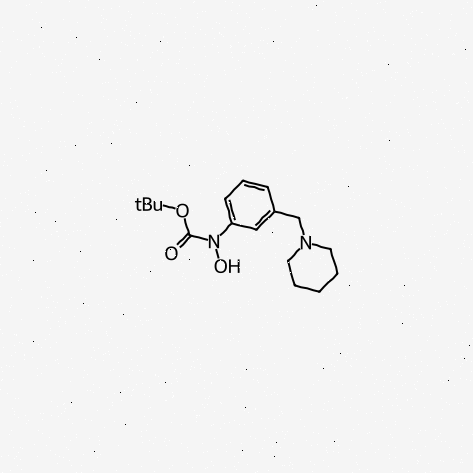 CC(C)(C)OC(=O)N(O)c1cccc(CN2CCCCC2)c1